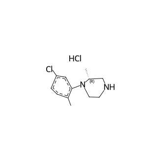 Cc1ccc(Cl)cc1N1CCNC[C@H]1C.Cl